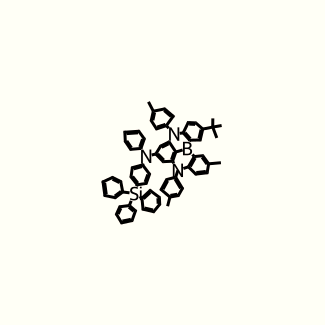 Cc1ccc(N2c3ccc(C)cc3B3c4cc(C(C)(C)C)ccc4N(c4ccc(C)cc4)c4cc(N(c5ccccc5)c5ccc([Si](c6ccccc6)(c6ccccc6)c6ccccc6)cc5)cc2c43)cc1